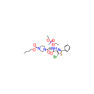 CCCCOC(=O)N1CCN(C(=O)[C@H](CP(=O)(OCC)OCC)NC(=O)c2nc(-c3ccccc3)sc2Br)CC1